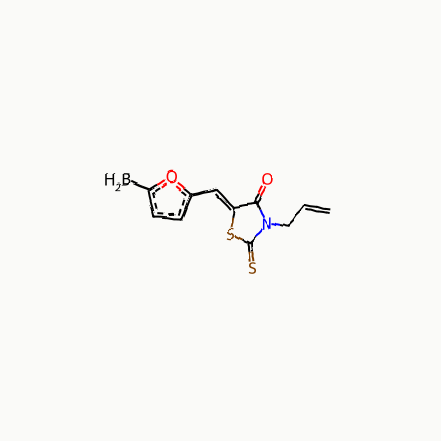 Bc1ccc(/C=C2\SC(=S)N(CC=C)C2=O)o1